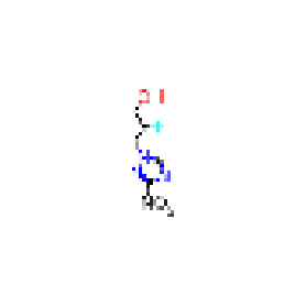 O=[N+]([O-])c1ncn(CC(F)CO)n1